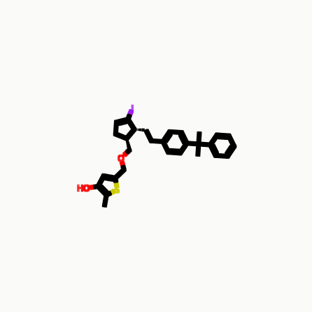 Cc1sc(COC[C@H]2CC=C(I)[C@@H]2CCc2ccc(C(C)(C)c3ccccc3)cc2)cc1O